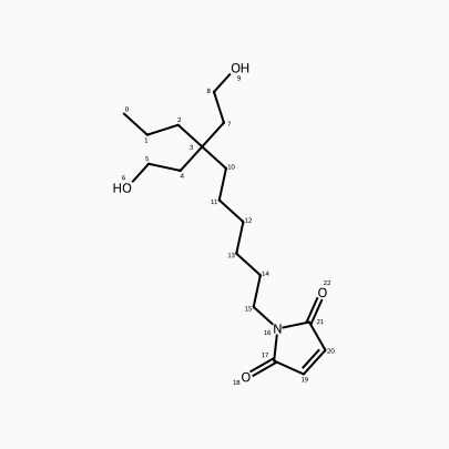 CCCC(CCO)(CCO)CCCCCCN1C(=O)C=CC1=O